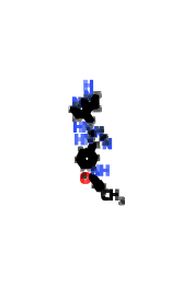 CC#CC(=O)Nc1cccc(CNC(=NC#N)NCc2ccnc3[nH]ccc23)c1